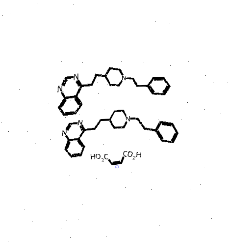 O=C(O)/C=C\C(=O)O.c1ccc(CCN2CCC(CCc3ncnc4ccccc34)CC2)cc1.c1ccc(CCN2CCC(CCc3ncnc4ccccc34)CC2)cc1